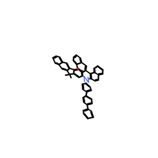 CC1(C)c2cc(N(c3ccc(-c4ccc(-c5ccccc5)cc4)cc3)c3ccc4ccccc4c3-c3ccc4ccccc4c3)ccc2-c2cc3ccccc3cc21